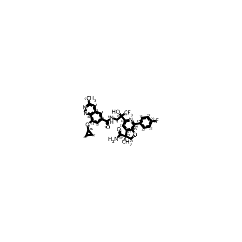 Cc1cc2cc(C(=O)NCC(O)(c3cc4c(c(-c5ccc(F)cc5)n3)OC[C@]4(C)C(N)=O)C(F)(F)F)cc(OC3CC3)c2nn1